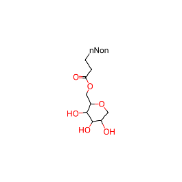 CCCCCCCCCCCC(=O)OCC1OCC(O)C(O)C1O